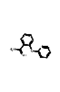 N=C(N)c1ccccc1Oc1ccccn1